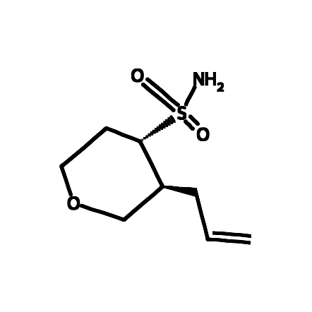 C=CC[C@H]1COCC[C@@H]1S(N)(=O)=O